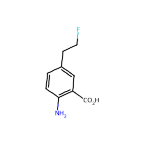 Nc1ccc(CCF)cc1C(=O)O